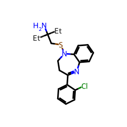 CCC(N)(CC)CSN1CCC(c2ccccc2Cl)=Nc2ccccc21